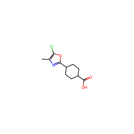 Cc1nc(C2CCC(C(=O)O)CC2)oc1Cl